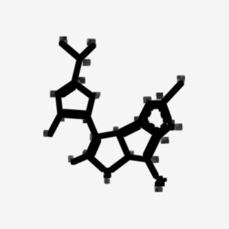 CC1=C(C2=C(C)SC3C2=c2cc(C)sc2=[C]3[Zr])CC(C(C)C)=C1